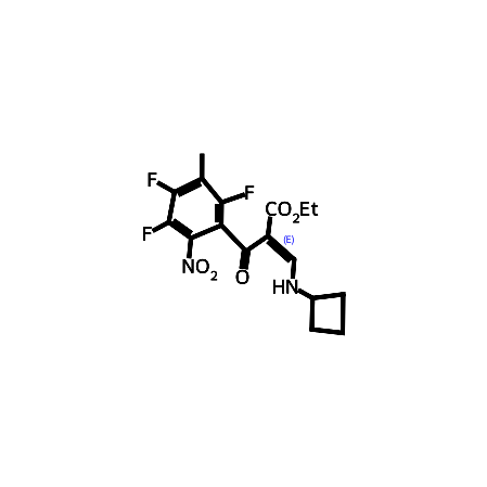 CCOC(=O)/C(=C/NC1CCC1)C(=O)c1c(F)c(C)c(F)c(F)c1[N+](=O)[O-]